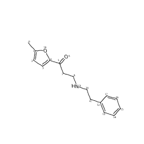 Cc1ccc(C(=O)CCNCCc2ccccc2)o1